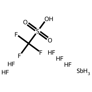 F.F.F.F.F.O=S(=O)(O)C(F)(F)F.[SbH3]